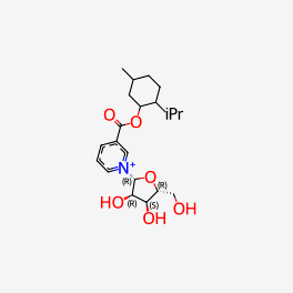 CC1CCC(C(C)C)C(OC(=O)c2ccc[n+]([C@@H]3O[C@H](CO)[C@@H](O)[C@H]3O)c2)C1